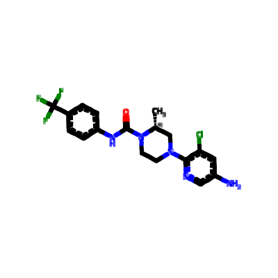 C[C@@H]1CN(c2ncc(N)cc2Cl)CCN1C(=O)Nc1ccc(C(F)(F)F)cc1